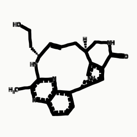 Cc1nc2cccc3c2nc1N[C@H](CCO)/C=C/C[C@H]1CNC(=O)c2cc-3[nH]c21